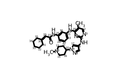 Cc1cnc(Nc2cnn(C3CCN(C)CC3)c2)nc1Nc1cccc(NC(=O)C=C2CCCCC2)c1